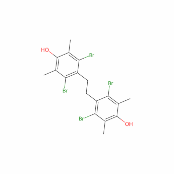 Cc1c(O)c(C)c(Br)c(CCc2c(Br)c(C)c(O)c(C)c2Br)c1Br